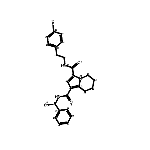 CC[C@@H](NC(=O)c1cc(C(=O)NCCc2ccc(F)cc2)n2c1CCCC2)c1ccccc1